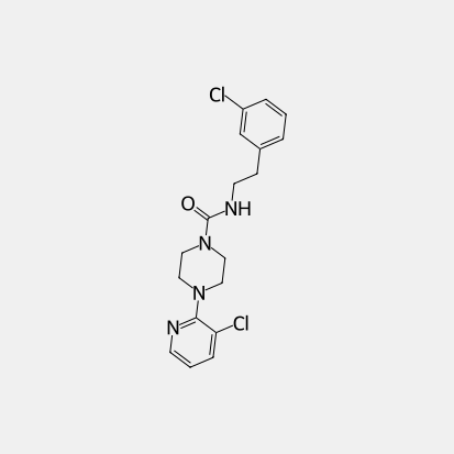 O=C(NCCc1cccc(Cl)c1)N1CCN(c2ncccc2Cl)CC1